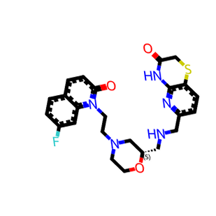 O=C1CSc2ccc(CNC[C@H]3CN(CCn4c(=O)ccc5ccc(F)cc54)CCO3)nc2N1